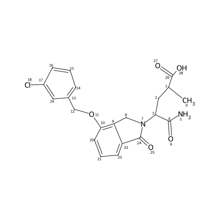 CC(CC(C(N)=O)N1Cc2c(OCc3cccc(Cl)c3)cccc2C1=O)C(=O)O